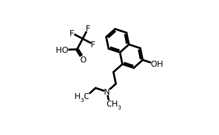 CCN(C)CCc1cc(O)cc2ccccc12.O=C(O)C(F)(F)F